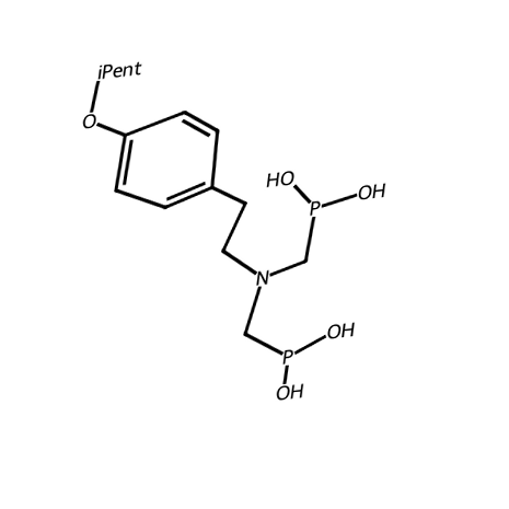 CCCC(C)Oc1ccc(CCN(CP(O)O)CP(O)O)cc1